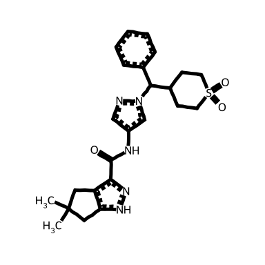 CC1(C)Cc2[nH]nc(C(=O)Nc3cnn(C(c4ccccc4)C4CCS(=O)(=O)CC4)c3)c2C1